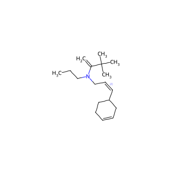 C=C(N(C/C=C\C1CC=CCC1)CCC)C(C)(C)C